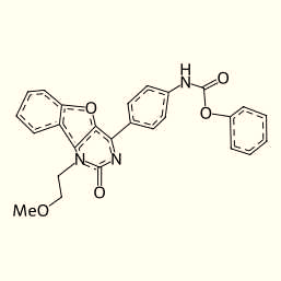 COCCn1c(=O)nc(-c2ccc(NC(=O)Oc3ccccc3)cc2)c2oc3ccccc3c21